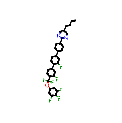 C=CCCc1cnc(-c2ccc(-c3ccc(-c4ccc(C(F)(F)Oc5cc(F)c(F)c(F)c5)c(F)c4)c(F)c3)cc2)nc1